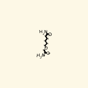 NC(=O)CCCCCOCC(N)=O